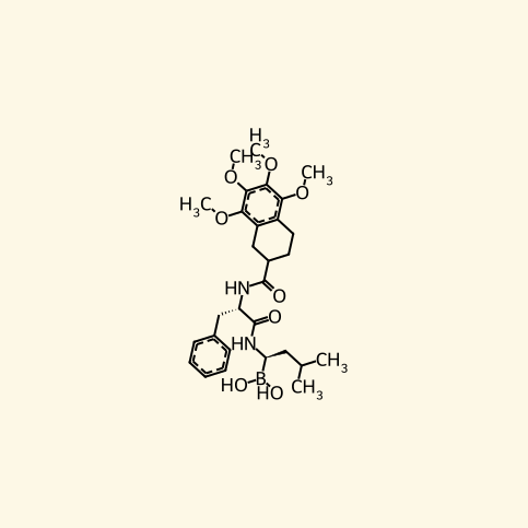 COc1c2c(c(OC)c(OC)c1OC)CC(C(=O)N[C@@H](Cc1ccccc1)C(=O)N[C@@H](CC(C)C)B(O)O)CC2